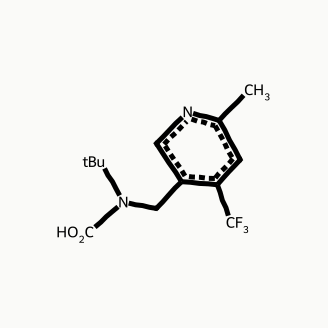 Cc1cc(C(F)(F)F)c(CN(C(=O)O)C(C)(C)C)cn1